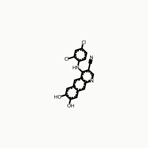 N#Cc1cnc2cc3cc(O)c(O)cc3cc2c1Nc1ccc(Cl)cc1Cl